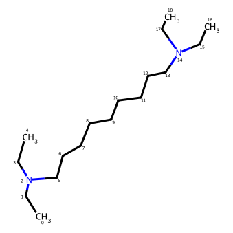 CCN(CC)CCCCCCCCCN(CC)CC